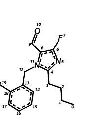 CCCCc1nc(F)c(C=O)n1Cc1ccccc1Cl